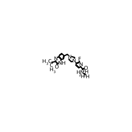 [2H]C([2H])([2H])NC(=O)c1ccc(N2CCN(Cc3ccc4nc(C(C)C)c(=O)[nH]c4c3)CC2)c(F)n1